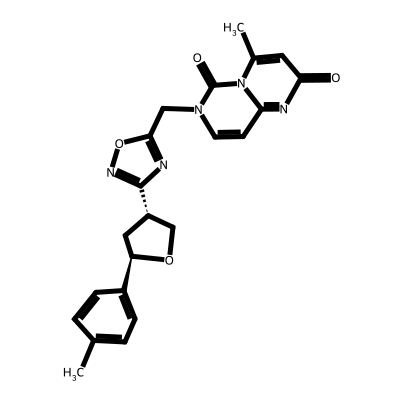 Cc1ccc([C@H]2C[C@H](c3noc(Cn4ccc5nc(=O)cc(C)n5c4=O)n3)CO2)cc1